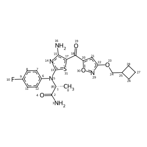 C[C@H](C(N)=O)N(c1ccc(F)cc1)c1nc(N)c(C(=O)c2cc(OCC3CCC3)no2)s1